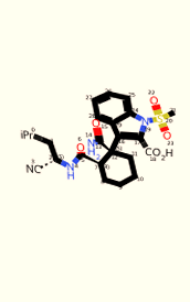 CC(C)C[C@@H](C#N)NC(=O)[C@@H]1CCCC[C@@]1(C(N)=O)c1c(C(=O)O)n(S(C)(=O)=O)c2ccccc12